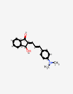 CN(C)c1ccc(C=CC=C2C(=O)c3ccccc3C2O)cc1